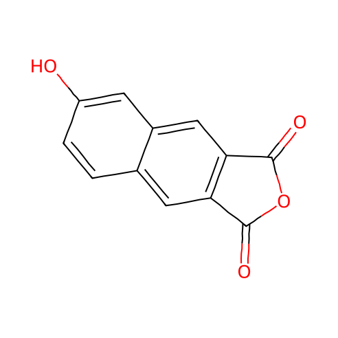 O=C1OC(=O)c2cc3cc(O)ccc3cc21